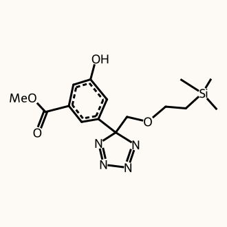 COC(=O)c1cc(O)cc(C2(COCC[Si](C)(C)C)N=NN=N2)c1